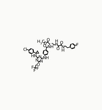 COC(=O)[C@H](CCNC(=O)C(=O)NCCc1ccc(F)cc1)NC(=O)c1ccc(Nc2nc(NC3(c4ccc(Cl)cc4)CC3)nc(OCC(F)(F)F)n2)cc1